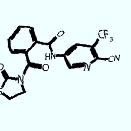 N#Cc1ncc(NC(=O)c2ccccc2C(=O)N2CCSC2=O)cc1C(F)(F)F